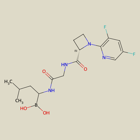 CC(C)CC(NC(=O)CNC(=O)[C@@H]1CCN1c1ncc(F)cc1F)B(O)O